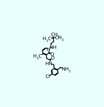 Cc1ccn(NCCC(C)(C)C)c(=O)c1CC(=O)NCc1cc(Cl)ccc1CN